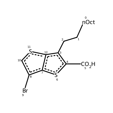 CCCCCCCCCCc1c(C(=O)O)sc2c(Br)csc12